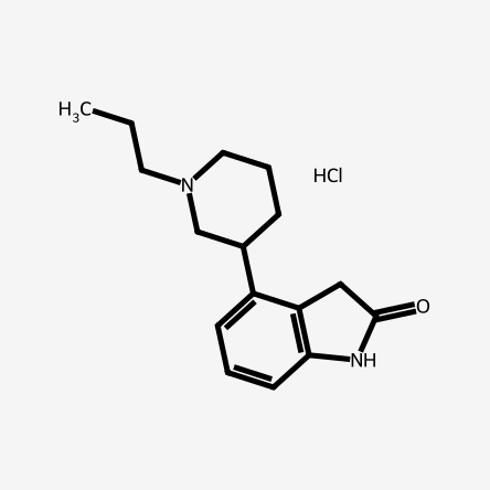 CCCN1CCCC(c2cccc3c2CC(=O)N3)C1.Cl